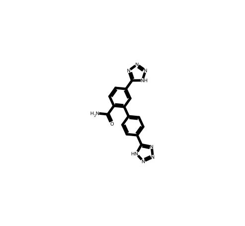 NC(=O)c1ccc(-c2nnn[nH]2)cc1-c1ccc(-c2nnn[nH]2)cc1